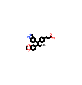 CCC(=C(c1ccc(C=CC(=O)O)cc1)c1ccc2[nH]ncc2c1)c1ccc2c(c1)OCCO2